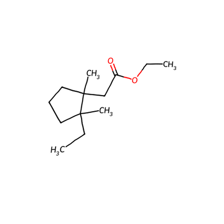 CCOC(=O)CC1(C)CCCC1(C)CC